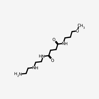 COCCCNC(=O)CCC(=O)NCCNCCN